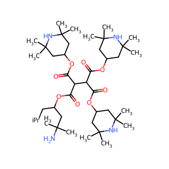 CC(C)CC(CC(C)(C)N)OC(=O)C(C(=O)OC1CC(C)(C)NC(C)(C)C1)C(C(=O)OC1CC(C)(C)NC(C)(C)C1)C(=O)OC1CC(C)(C)NC(C)(C)C1